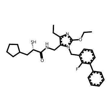 CCOc1nc(CC)c(CNC(=O)[C@@H](S)CC2CCCC2)n1Cc1cccc(-c2ccccc2)c1F